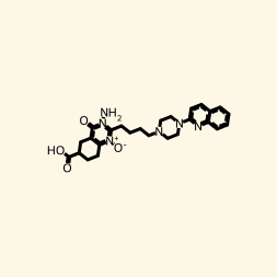 Nn1c(CCCCN2CCN(c3ccc4ccccc4n3)CC2)[n+]([O-])c2c(c1=O)CC(C(=O)O)CC2